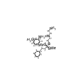 CO[Si](CCc1ccccc1)(OC)OCCNCCN.Nc1ccccc1.O